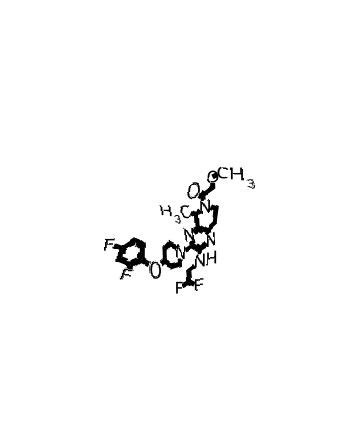 COCC(=O)N1CCc2nc(NCC(F)F)c(N3CCC(Oc4ccc(F)cc4F)CC3)nc2C1C